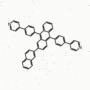 c1ccc2cc(-c3ccc4c(-c5ccc(-c6ccncc6)cc5)c5ccccc5c(-c5ccc(-c6ccncc6)cc5)c4c3)ccc2c1